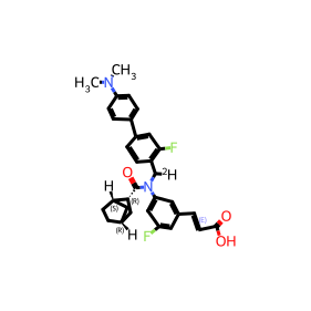 [2H]C(c1ccc(-c2ccc(N(C)C)cc2)cc1F)N(C(=O)[C@@H]1C[C@@H]2CC[C@H]1C2)c1cc(F)cc(/C=C/C(=O)O)c1